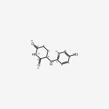 CCc1ccc(NC2CCC(=O)NC2=O)nc1